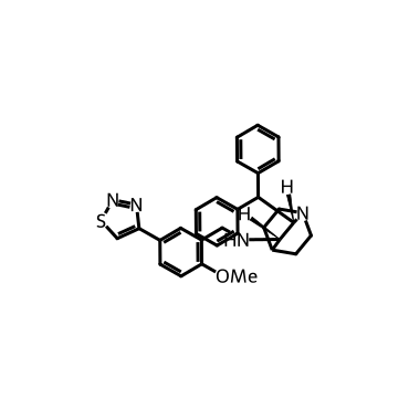 COc1ccc(-c2csnn2)cc1CN[C@H]1C2CCN(CC2)[C@H]1C(c1ccccc1)c1ccccc1